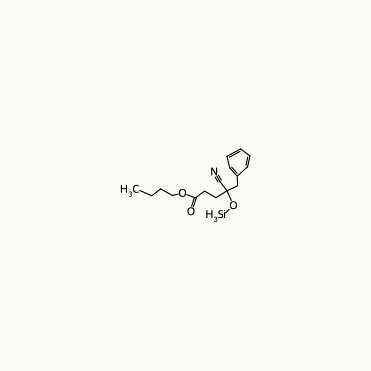 CCCCOC(=O)CCC(C#N)(Cc1ccccc1)O[SiH3]